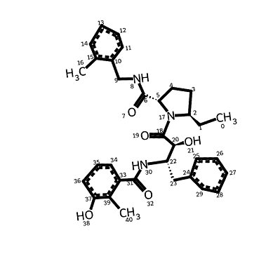 CC[C@@H]1CC[C@@H](C(=O)NCc2ccccc2C)N1C(=O)[C@@H](O)[C@H](Cc1ccccc1)NC(=O)c1cccc(O)c1C